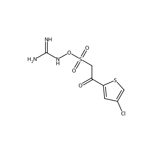 N=C(N)NOS(=O)(=O)CC(=O)c1cc(Cl)cs1